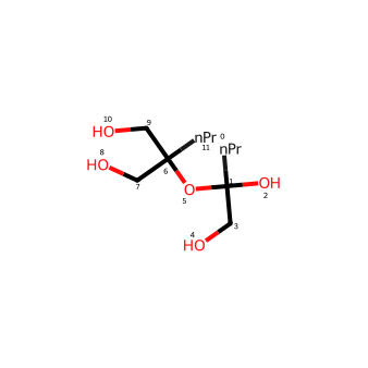 CCCC(O)(CO)OC(CO)(CO)CCC